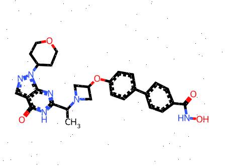 CC(c1nc2c(cnn2C2CCOCC2)c(=O)[nH]1)N1CC(Oc2ccc(-c3ccc(C(=O)NO)cc3)cc2)C1